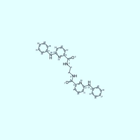 O=C(NCCNC(=O)c1cccc(Nc2ccccc2)n1)c1cccc(Nc2ccccc2)n1